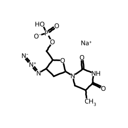 CC1CN(C2CC(N=[N+]=[N-])C(COP(=O)([O-])O)O2)C(=O)NC1=O.[Na+]